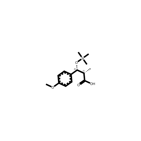 COc1ccc([C@H](O[Si](C)(C)C)[C@H](C)C(=O)O)cc1